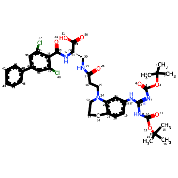 CC(C)(C)OC(=O)/N=C(/NC(=O)OC(C)(C)C)Nc1ccc2c(c1)N(CCC(=O)NC[C@H](NC(=O)c1c(Cl)cc(-c3ccccc3)cc1Cl)C(=O)O)CCC2